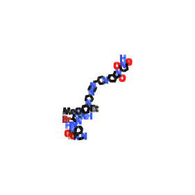 CCc1cc(Nc2ncc(Br)c(Nc3ccc4nccnc4c3N(C)S(C)(=O)=O)n2)c(OC)cc1N1CCC(N2CCN(CC3CCN(c4ccc5c(c4)CN(C4CCC(=O)NC4=O)C5=O)CC3)CC2)CC1